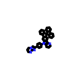 c1ccc(C2(c3ccccc3)c3ccccc3-c3cc4c(cc32)c2ncccc2n4-c2ccc(-c3cn4cccnc4n3)cc2)cc1